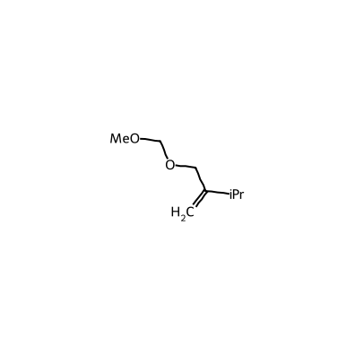 C=C(COCOC)C(C)C